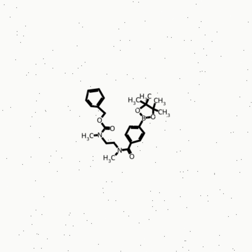 CN(CCN(C)C(=O)c1ccc(B2OC(C)(C)C(C)(C)O2)cc1)C(=O)OCc1ccccc1